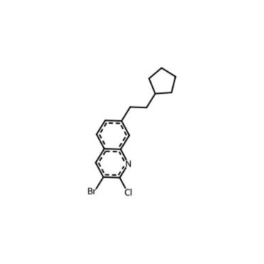 Clc1nc2cc(CCC3CCCC3)ccc2cc1Br